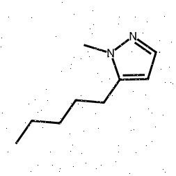 CCCCCc1c[c]nn1C